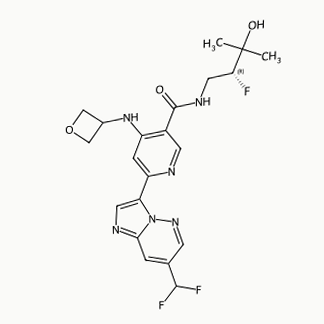 CC(C)(O)[C@H](F)CNC(=O)c1cnc(-c2cnc3cc(C(F)F)cnn23)cc1NC1COC1